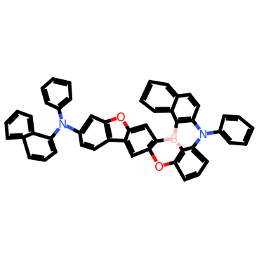 c1ccc(N2c3cccc4c3B(c3cc5oc6cc(N(c7ccccc7)c7cccc8ccccc78)ccc6c5cc3O4)c3c2ccc2ccccc32)cc1